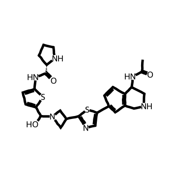 CC(=O)NC1CNCc2cc(-c3cnc(C4CN(C(O)c5ccc(NC(=O)[C@@H]6CCCN6)s5)C4)s3)ccc21